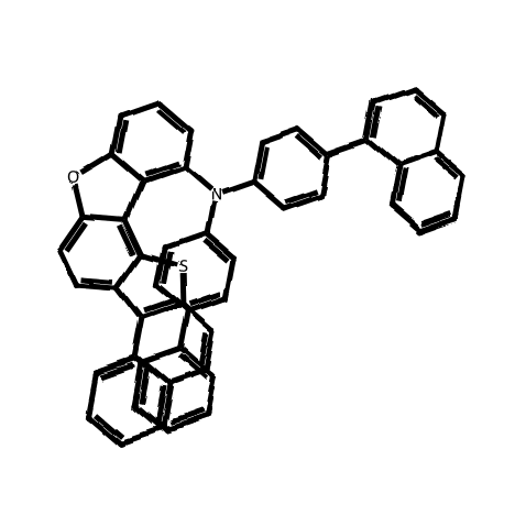 c1ccc(-c2ccc(N(c3ccc(-c4cccc5ccccc45)cc3)c3cccc4oc5ccc6c(sc7ccc8ccccc8c76)c5c34)cc2)cc1